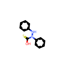 OC(=S)N(Nc1ccccc1)c1ccccc1